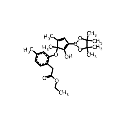 CCOC(=O)Cc1ccc(C)cc1OC1(C)C(C)=CC(B2OC(C)(C)C(C)(C)O2)=C1O